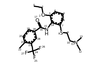 CCOc1cccc(SCCN(C)C)c1NC(=O)c1ccc(C)c(C(F)(F)F)c1